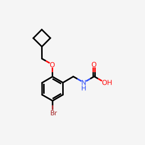 O=C(O)NCc1cc(Br)ccc1OCC1CCC1